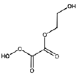 O=C(OO)C(=O)OCCO